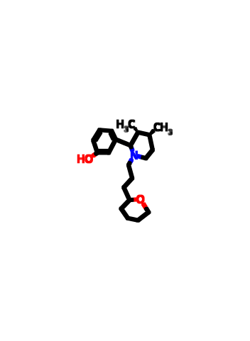 C[C@H]1CCN(CCCC2CCCCO2)C(c2cccc(O)c2)[C@@H]1C